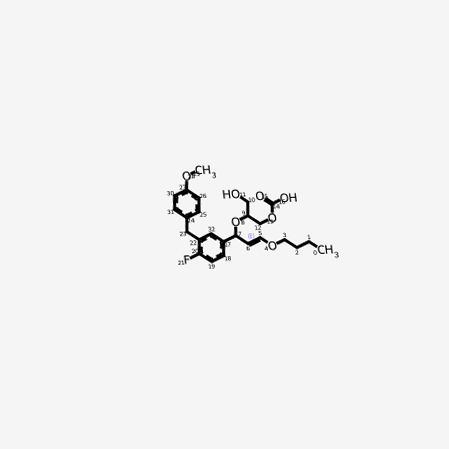 CCCCO/C=C/C(OC(CO)COC(=O)O)c1ccc(F)c(Cc2ccc(OC)cc2)c1